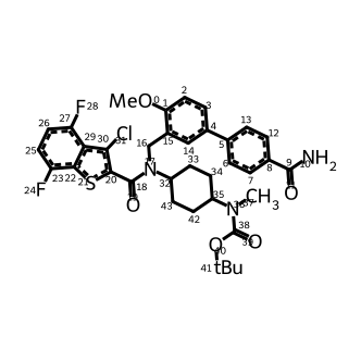 COc1ccc(-c2ccc(C(N)=O)cc2)cc1CN(C(=O)c1sc2c(F)ccc(F)c2c1Cl)C1CCC(N(C)C(=O)OC(C)(C)C)CC1